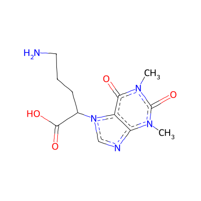 Cn1c(=O)c2c(ncn2C(CCCN)C(=O)O)n(C)c1=O